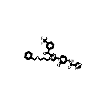 O=C(Nc1ccn(-c2cn(CCCOCc3ccccc3)c(C(=O)c3cccc(C(F)(F)F)c3)n2)c(=O)c1)c1cscn1